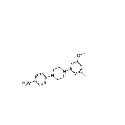 COc1cc(C)nc(N2CCN(c3ccc(N)cc3)CC2)c1